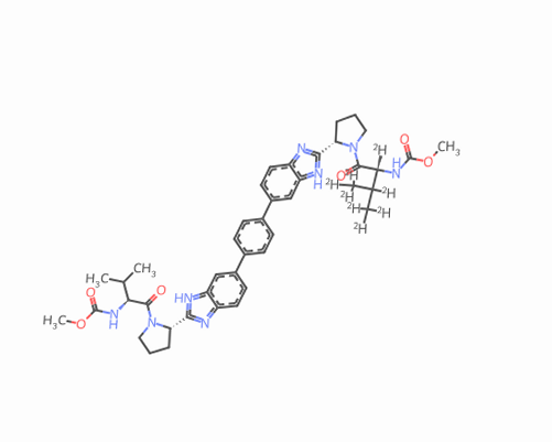 [2H]C([2H])([2H])C([2H])(C([2H])([2H])[2H])[C@@]([2H])(NC(=O)OC)C(=O)N1CCC[C@H]1c1nc2ccc(-c3ccc(-c4ccc5nc([C@@H]6CCCN6C(=O)[C@@H](NC(=O)OC)C(C)C)[nH]c5c4)cc3)cc2[nH]1